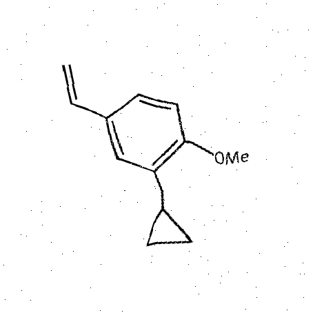 C=Cc1ccc(OC)c(C2CC2)c1